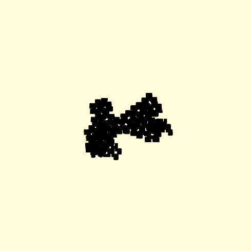 CC1(C)c2ccccc2-c2c(-c3ccccc3N(c3ccc(-c4cccc5cccc(-c6cccc(-c7ccc8ccc9c(N(c%10ccc(-c%11cccc%12cccc(-c%13ccccc%13)c%11%12)cc%10)c%10ccccc%10-c%10cccc%11c%10-c%10ccccc%10C%11(C)C)cccc9c8c7)c6)c45)cc3)c3ccccc3-c3ccc4ccccc4c3)cccc21